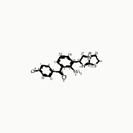 Nc1c(C(=O)c2ccc(Cl)cc2)cccc1C1CN2CCSC2=N1